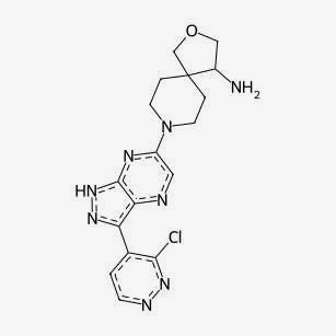 NC1COCC12CCN(c1cnc3c(-c4ccnnc4Cl)n[nH]c3n1)CC2